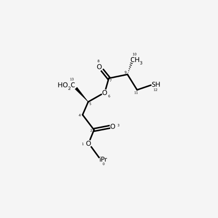 CC(C)OC(=O)C[C@H](OC(=O)[C@H](C)CS)C(=O)O